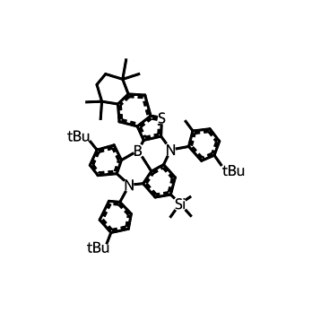 Cc1ccc(C(C)(C)C)cc1N1c2cc([Si](C)(C)C)cc3c2B(c2cc(C(C)(C)C)ccc2N3c2ccc(C(C)(C)C)cc2)c2c1sc1cc3c(cc21)C(C)(C)CCC3(C)C